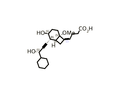 CO[C@@]12CC[C@H](O)[C@@H](C#C[C@@H](O)C3CCCCC3)[C@@H]1C/C2=C/CCC(=O)O